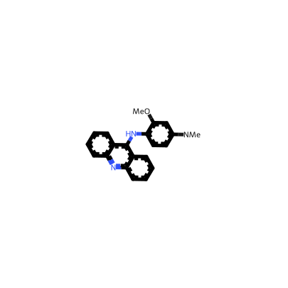 CNc1ccc(Nc2c3ccccc3nc3ccccc23)c(OC)c1